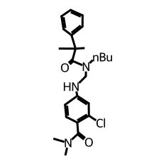 CCCCN(CNc1ccc(C(=O)N(C)C)c(Cl)c1)C(=O)C(C)(C)c1ccccc1